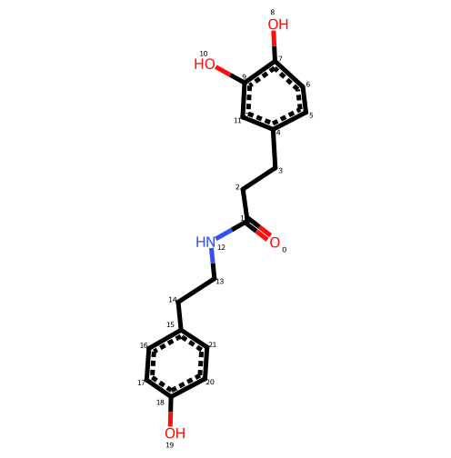 O=C(CCc1ccc(O)c(O)c1)NCCc1ccc(O)cc1